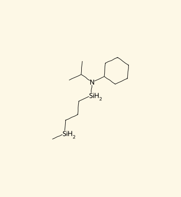 C[SiH2]CCC[SiH2]N(C(C)C)C1CCCCC1